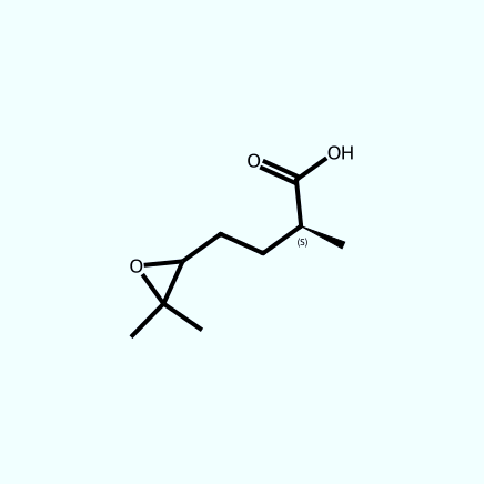 C[C@@H](CCC1OC1(C)C)C(=O)O